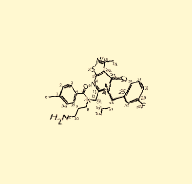 Cc1ccc(C(=O)N(CCCN)[C@H](c2nc3snc(C)c3c(=O)n2Cc2cccc(F)c2)C(C)C)cc1